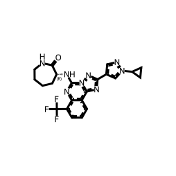 O=C1NCCCC[C@H]1Nc1nc2c(C(F)(F)F)cccc2c2nc(-c3cnn(C4CC4)c3)nn12